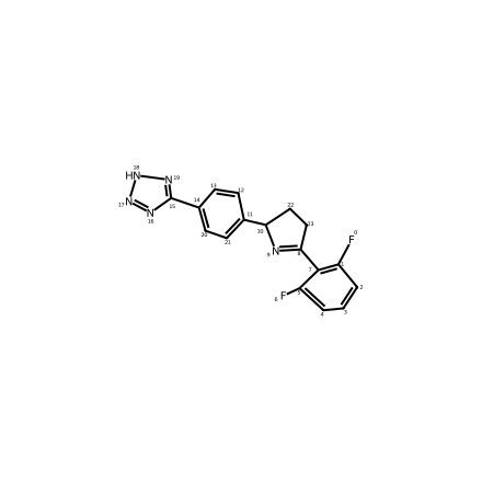 Fc1cccc(F)c1C1=NC(c2ccc(-c3nn[nH]n3)cc2)CC1